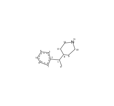 CC(c1ccccc1)C1CC[N]CC1